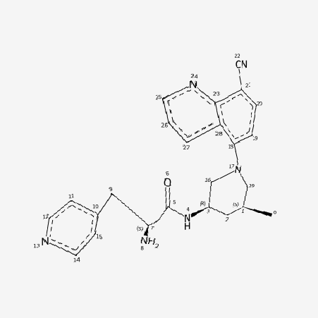 C[C@H]1C[C@@H](NC(=O)[C@@H](N)Cc2ccncc2)CN(c2ccc(C#N)c3ncccc23)C1